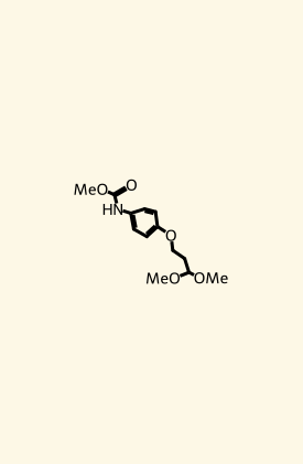 COC(=O)Nc1ccc(OCCC(OC)OC)cc1